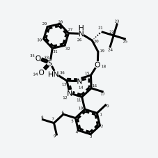 Cc1cccc(CC(C)C)c1-c1nc2nc(c1C)OC[C@@H](CC(C)(C)C)Nc1cccc(c1)S(=O)(=O)N2